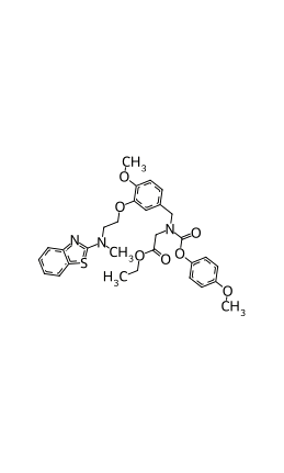 CCOC(=O)CN(Cc1ccc(OC)c(OCCN(C)c2nc3ccccc3s2)c1)C(=O)Oc1ccc(OC)cc1